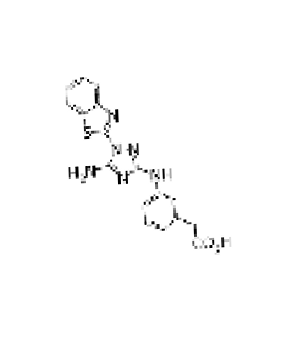 Nc1nc(Nc2cccc(CC(=O)O)c2)nn1-c1nc2ccccc2s1